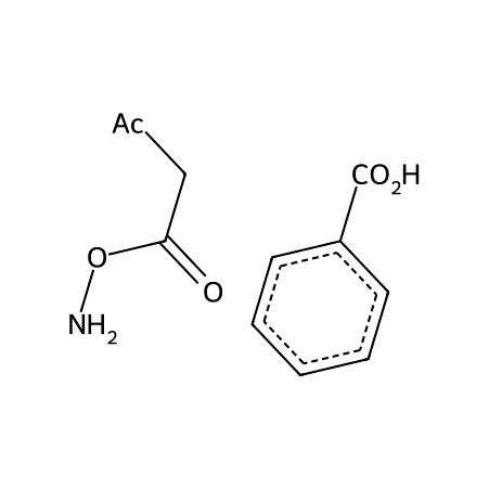 CC(=O)CC(=O)ON.O=C(O)c1ccccc1